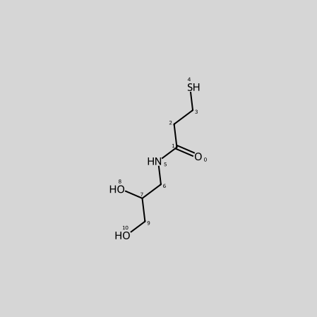 O=C(CCS)NCC(O)CO